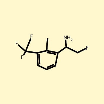 Cc1c(C(N)CF)cccc1C(F)(F)F